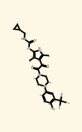 Cc1[nH]c(OC(=O)NCC2CC2)c(C)c1C(=O)C(=O)N1CCN(c2ccc(Cl)c(C(F)(F)F)c2)CC1